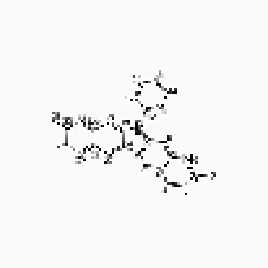 Cc1ccc2cc3c(cc2n1)B(c1ccccc1)c1cc2nc(C)ccc2cc1-3